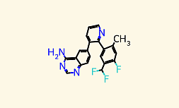 Cc1cc(F)c(C(F)F)cc1-c1ncccc1-c1ccc2ncnc(N)c2c1